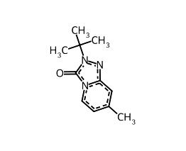 Cc1ccn2c(=O)n(C(C)(C)C)nc2c1